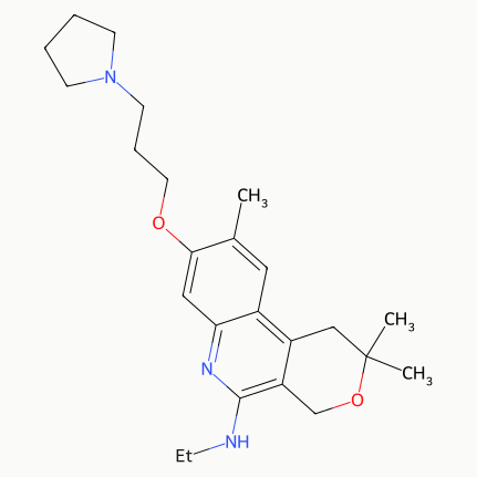 CCNc1nc2cc(OCCCN3CCCC3)c(C)cc2c2c1COC(C)(C)C2